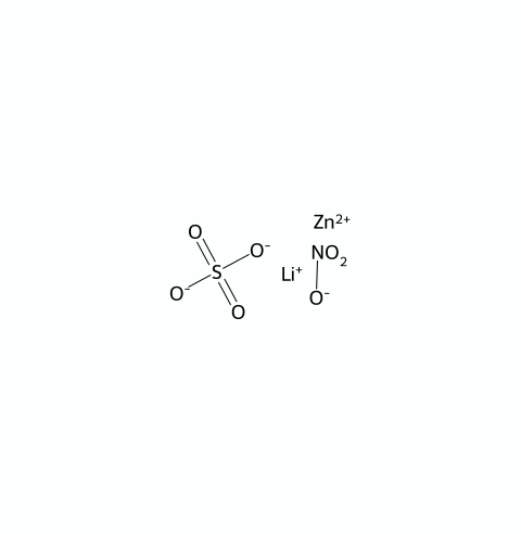 O=S(=O)([O-])[O-].O=[N+]([O-])[O-].[Li+].[Zn+2]